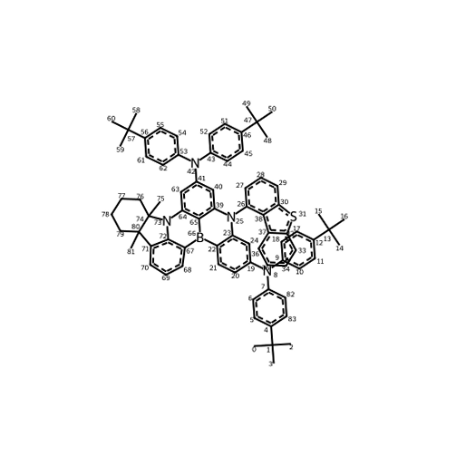 CC(C)(C)c1ccc(N(c2ccc(C(C)(C)C)cc2)c2ccc3c(c2)N(c2cccc4sc5ccccc5c24)c2cc(N(c4ccc(C(C)(C)C)cc4)c4ccc(C(C)(C)C)cc4)cc4c2B3c2cccc3c2N4C2(C)CCCCC32C)cc1